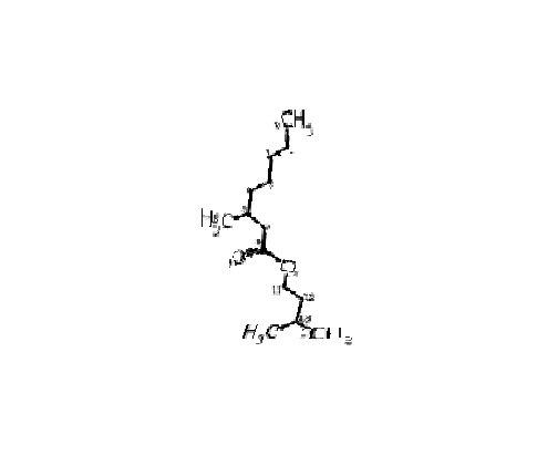 CCCCCC(C)CC(=O)OCCC(C)C